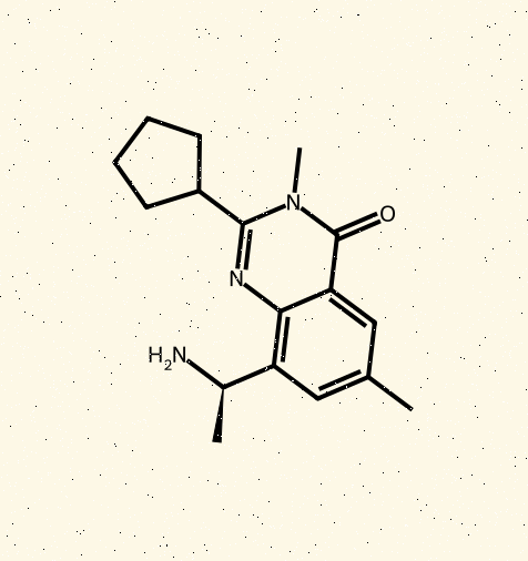 Cc1cc([C@@H](C)N)c2nc(C3CCCC3)n(C)c(=O)c2c1